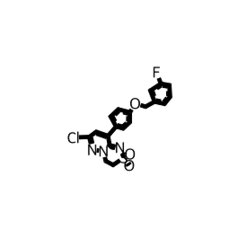 O=S1(=O)CCN2N=C(Cl)C=C(c3ccc(OCc4cccc(F)c4)cc3)C2=N1